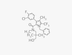 Cc1c(-c2ccc(F)c(Cl)c2)c(C(=O)N(C)CC(C)(C)CO)n(Cc2ccccc2)c1C(F)(F)F